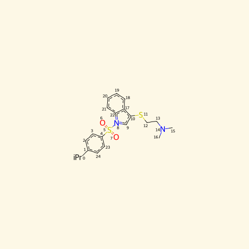 CC(C)c1ccc(S(=O)(=O)n2cc(SCCN(C)C)c3ccccc32)cc1